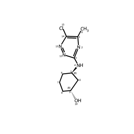 Cc1nc(N[C@@H]2CCC[C@@H](O)C2)nnc1Cl